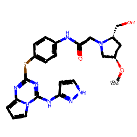 CC(C)(C)O[C@@H]1C[C@@H](CO)N(CC(=O)Nc2ccc(Sc3nc(Nc4cc[nH]n4)n4cccc4n3)cc2)C1